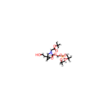 CC(C)(C)OC(=O)CN(CC1(CCO)CC1)C(=O)OCOP(=O)(OC(C)(C)C)OC(C)(C)C